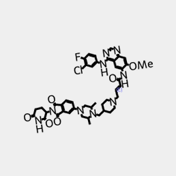 COc1cc2ncnc(Nc3ccc(F)c(Cl)c3)c2cc1NC(=O)/C=C/CN1CCC(CN2C(C)CN(c3ccc4c(c3)C(=O)N(C3CCC(=O)NC3=O)C4=O)CC2C)CC1